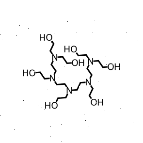 OCCN(CCO)CCN(CCO)CCN(CCO)CCN(CCO)CCN(CCO)CCO